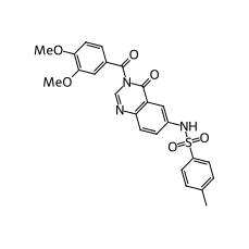 COc1ccc(C(=O)n2cnc3ccc(NS(=O)(=O)c4ccc(C)cc4)cc3c2=O)cc1OC